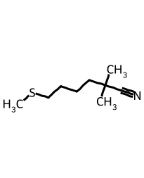 CSCCCCC(C)(C)C#N